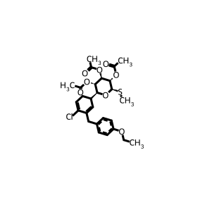 CCOc1ccc(CC2=CC([C@@H]3O[C@H](SC)[C@@H](OC(C)=O)[C@H](OC(C)=O)[C@H]3OC(C)=O)CC=C2Cl)cc1